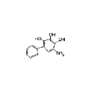 Nc1cc(-c2ccccc2)c(O)c(O)c1O